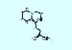 NC(=O)CCC1NCCN2CCCCC12